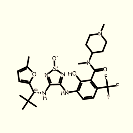 Cc1ccc([C@H](Nc2n[s+]([O-])nc2Nc2ccc(C(F)(F)F)c(C(=O)N(C)C3CCN(C)CC3)c2O)C(C)(C)C)o1